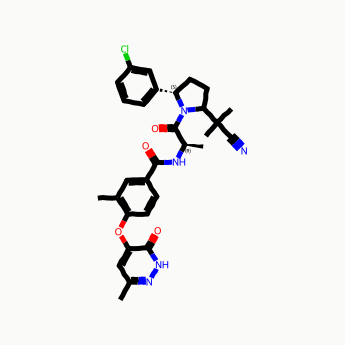 Cc1cc(Oc2ccc(C(=O)N[C@H](C)C(=O)N3C(C(C)(C)C#N)CC[C@H]3c3cccc(Cl)c3)cc2C)c(=O)[nH]n1